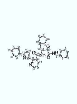 O=C(NCc1ccccc1)C(=O)C(Cc1ccccc1)NC(=O)c1cccnc1-n1ccc(-c2ccccc2)n1